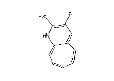 CC1=C(Br)C=C2C=CC=CC=C2N1